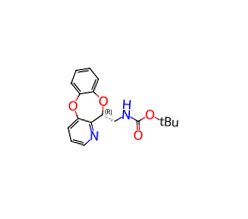 CC(C)(C)OC(=O)NC[C@H]1Oc2ccccc2Oc2cccnc21